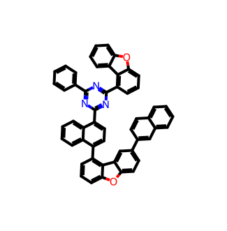 c1ccc(-c2nc(-c3ccc(-c4cccc5oc6ccc(-c7ccc8ccccc8c7)cc6c45)c4ccccc34)nc(-c3cccc4oc5ccccc5c34)n2)cc1